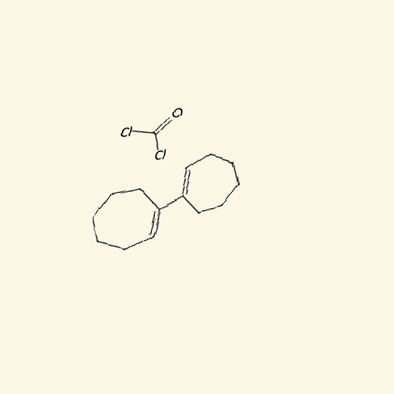 C1=C(C2=CCCCCC2)CCCCC1.O=C(Cl)Cl